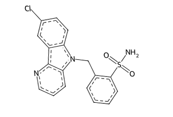 NS(=O)(=O)c1ccccc1Cn1c2ccc(Cl)cc2c2ncccc21